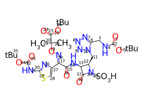 CC(C)(C)OC(=O)NCc1nnnn1C[C@@H]1[C@H](NC(=O)C(=NOC(C)(C)C(=O)OC(C)(C)C)c2csc(NC(=O)OC(C)(C)C)n2)C(=O)N1S(=O)(=O)O